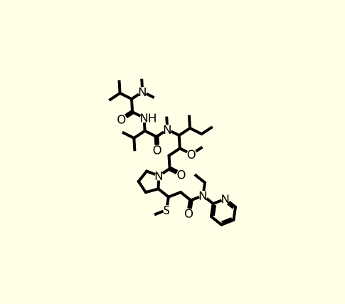 CCC(C)C(C(CC(=O)N1CCCC1C(CC(=O)N(CC)c1ccccn1)SC)OC)N(C)C(=O)C(NC(=O)C(C(C)C)N(C)C)C(C)C